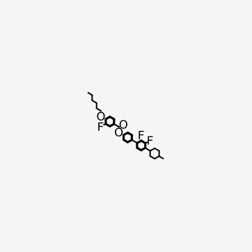 CCCCCCOc1ccc(C(=O)Oc2ccc(-c3ccc(C4CCC(C)CC4)c(F)c3F)cc2)cc1F